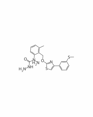 CSc1cccc(-c2csc(OCc3c(C)cccc3N(N)C(=O)NN)n2)c1